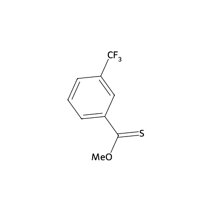 COC(=S)c1cccc(C(F)(F)F)c1